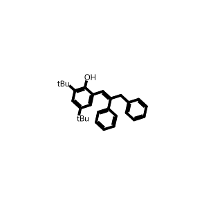 CC(C)(C)c1cc(C=C(Cc2ccccc2)c2ccccc2)c(O)c(C(C)(C)C)c1